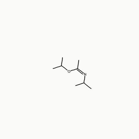 C/C(=N/C(C)C)OC(C)C